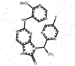 COc1ncncc1Nc1ncc2[nH]c(=O)n([C@H](C)c3ncc(F)cn3)c2n1